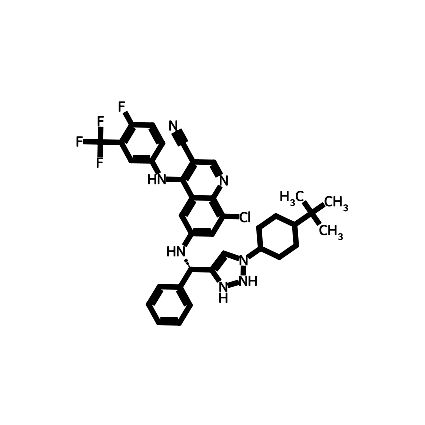 CC(C)(C)C1CCC(N2C=C([C@@H](Nc3cc(Cl)c4ncc(C#N)c(Nc5ccc(F)c(C(F)(F)F)c5)c4c3)c3ccccc3)NN2)CC1